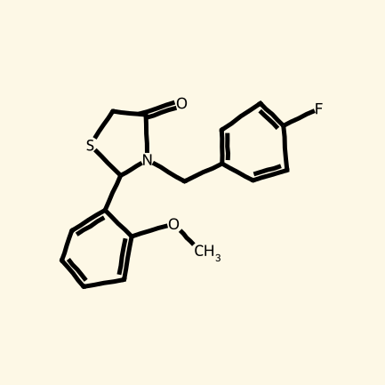 COc1ccccc1C1SCC(=O)N1Cc1ccc(F)cc1